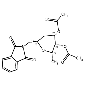 CC(=O)O[C@@H]1[C@H](C)O[C@@H](ON2C(=O)c3ccccc3C2=O)C[C@@H]1OC(C)=O